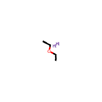 CCOCC.I.I